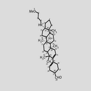 COCCCN[C@]12CCC[C@]1(C)[C@H]1CCC3[C@@](C)(CCC4C(C)(C)C(C5=CC[C@H](C=O)CC5)=CC[C@@]43C)C1CC2